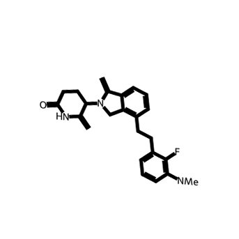 C=C1NC(=O)CCC1N1Cc2c(CCc3cccc(NC)c3F)cccc2C1=C